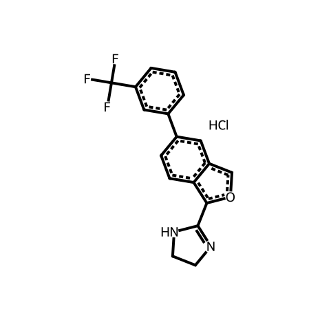 Cl.FC(F)(F)c1cccc(-c2ccc3c(C4=NCCN4)occ3c2)c1